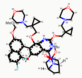 COCOc1cc(-c2c([N+](=O)[O-])cc3c(N4C[C@H]5CC[C@@H](C4)N5C(=O)OC(C)(C)C)nc(OCC4(CN5CCOCC5)CC4)nc3c2OCC2(CN3CCOCC3)CC2)c2c(F)c(F)ccc2c1